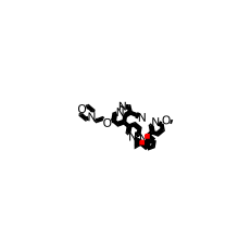 COc1ccc(CC2(C3CC3)C3CC2CN(c2ccc(-c4cc(OCCN5CCOCC5)cn5ncc(C#N)c45)cn2)C3)cn1